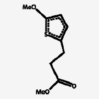 COC(=O)CCc1ccc(OC)s1